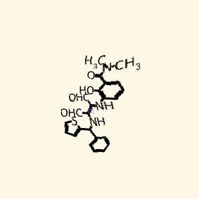 CN(C)C(=O)c1cccc(N/C(C=O)=C(/C=O)NC(c2ccccc2)c2cccs2)c1O